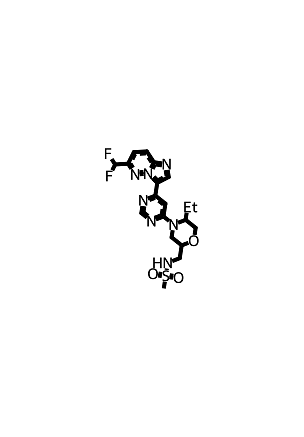 CCC1COC(CNS(C)(=O)=O)CN1c1cc(-c2cnc3ccc(C(F)F)nn23)ncn1